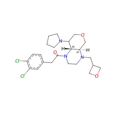 O=C(Cc1ccc(Cl)c(Cl)c1)N1CCN(CC2COC2)[C@@H]2COCC(N3CCCC3)[C@H]21